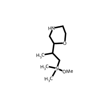 CO[Si](C)(C)CC(C)C1CNCCO1